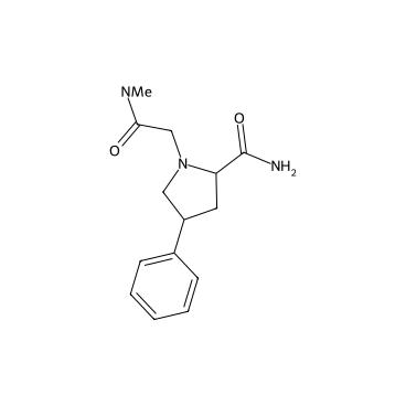 CNC(=O)CN1CC(c2ccccc2)CC1C(N)=O